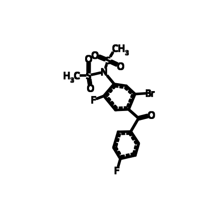 CS(=O)(=O)N(c1cc(Br)c(C(=O)c2ccc(F)cc2)cc1F)S(C)(=O)=O